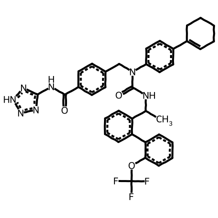 CC(NC(=O)N(Cc1ccc(C(=O)Nc2nn[nH]n2)cc1)c1ccc(C2=CCCCC2)cc1)c1ccccc1-c1ccccc1OC(F)(F)F